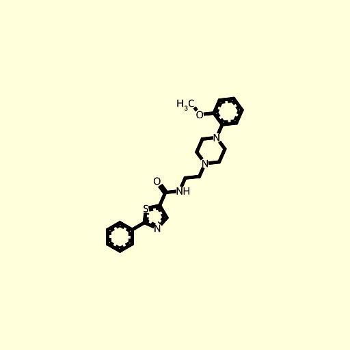 COc1ccccc1N1CCN(CCNC(=O)c2cnc(-c3ccccc3)s2)CC1